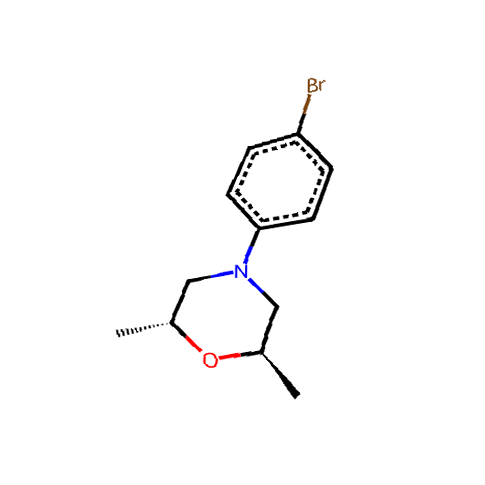 C[C@@H]1CN(c2ccc(Br)cc2)C[C@@H](C)O1